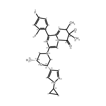 CC1N=C2C(c3ccc(F)cc3F)=NC(N3C[C@@H](C)O[C@@H](c4cnn(C5CC5)c4)C3)=CN2C(=O)C1(C)Cl